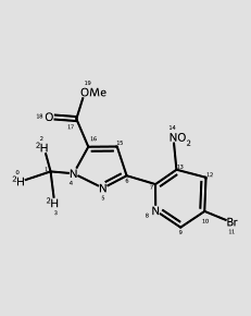 [2H]C([2H])([2H])n1nc(-c2ncc(Br)cc2[N+](=O)[O-])cc1C(=O)OC